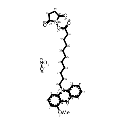 COc1cccc2c1nc1ccccc1[n+]2CCCCCCCCCCC(=O)ON1C(=O)CCC1=O.O=[N+]([O-])[O-]